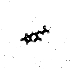 Cc1noc(CN(CCC(C)C)C(C)C)n1